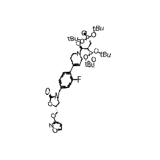 CC(C)(C)OP(=O)(C[C@H](C(=O)N1CC=C(c2ccc(N3C[C@H](COc4ccon4)OC3=O)cc2F)CC1)P(=O)(OC(C)(C)C)OC(C)(C)C)OC(C)(C)C